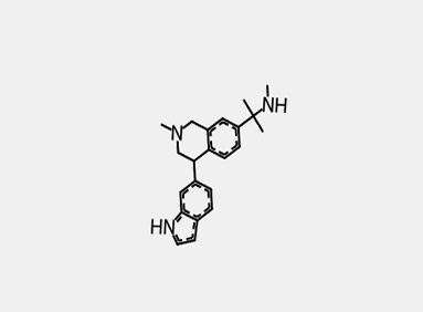 CNC(C)(C)c1ccc2c(c1)CN(C)CC2c1ccc2cc[nH]c2c1